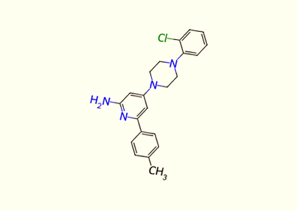 Cc1ccc(-c2cc(N3CCN(c4ccccc4Cl)CC3)cc(N)n2)cc1